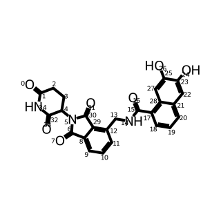 O=C1CCC(N2C(=O)c3cccc(CNC(=O)c4cccc5cc(O)c(O)cc45)c3C2=O)C(=O)N1